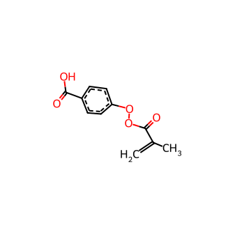 C=C(C)C(=O)OOc1ccc(C(=O)O)cc1